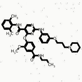 CCCNC(=O)c1ccc(Oc2nc(Nc3cccc(OCCCN4CCCCC4)c3)ncc2C(=O)Nc2c(C)cccc2C)c(OC)c1